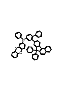 c1ccc(-c2ccc(N(c3ccccc3)c3ccc4c(c3)Sc3ccccc3O4)cc2-c2ccc3c(c2)C(c2ccccc2)(c2ccccc2)c2ccc4ccccc4c2-3)cc1